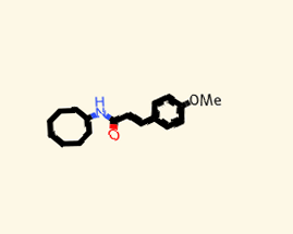 COc1ccc(/C=C/C(=O)NC2CCCCCCC2)cc1